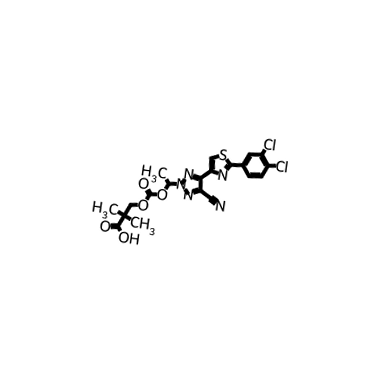 CC(OC(=O)OCC(C)(C)C(=O)O)n1nc(C#N)c(-c2csc(-c3ccc(Cl)c(Cl)c3)n2)n1